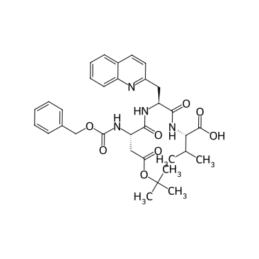 CC(C)[C@H](NC(=O)[C@H](Cc1ccc2ccccc2n1)NC(=O)[C@H](CC(=O)OC(C)(C)C)NC(=O)OCc1ccccc1)C(=O)O